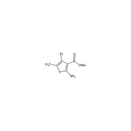 CCc1c(C)sc(N)c1C(=O)OC